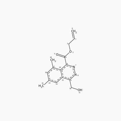 C=CCOC(=O)c1nnc(CO)c2cc(C)cc(C)c12